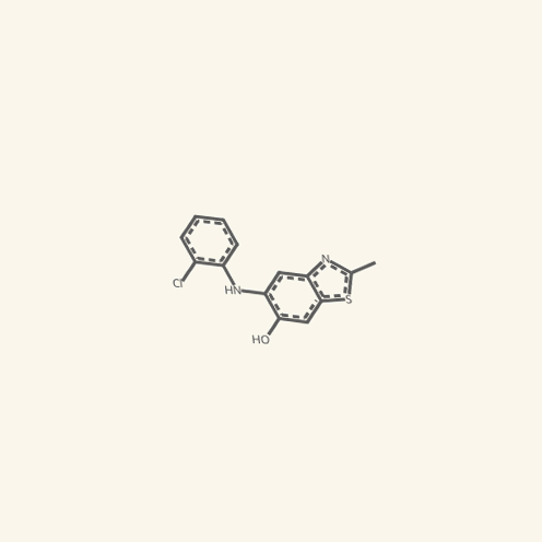 Cc1nc2cc(Nc3ccccc3Cl)c(O)cc2s1